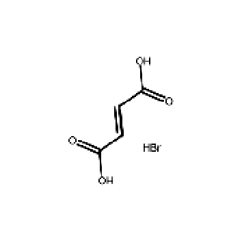 Br.O=C(O)C=CC(=O)O